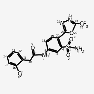 NS(=O)(=O)c1cc(NC(=O)Cc2ccccc2Cl)ccc1-c1nnc(C(F)(F)F)o1